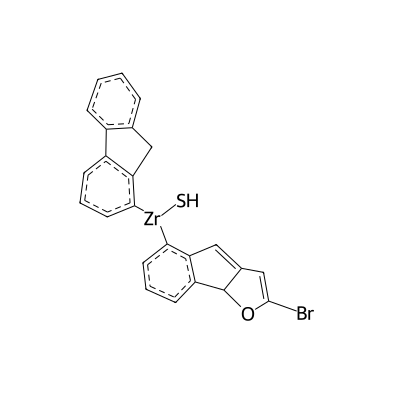 [SH][Zr]([c]1cccc2c1C=C1C=C(Br)OC12)[c]1cccc2c1Cc1ccccc1-2